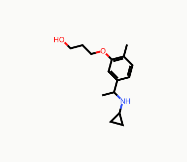 Cc1ccc(C(C)NC2CC2)cc1OCCCO